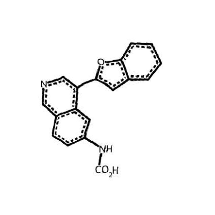 O=C(O)Nc1ccc2cncc(-c3cc4ccccc4o3)c2c1